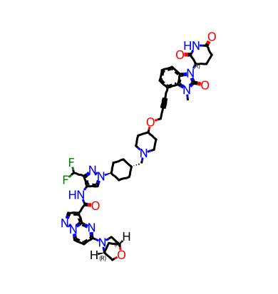 Cn1c(=O)n([C@@H]2CCC(=O)NC2=O)c2cccc(C#CCOC3CCN(C[C@H]4CC[C@H](n5cc(NC(=O)c6cnn7ccc(N8C[C@H]9C[C@@H]8CO9)nc67)c(C(F)F)n5)CC4)CC3)c21